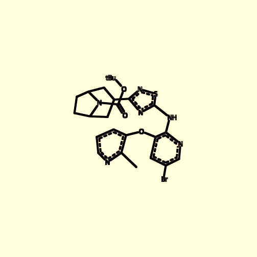 Cc1ncccc1Oc1cc(Br)cnc1Nc1nc(C2CC3CCC(C2)N3C(=O)OC(C)(C)C)ns1